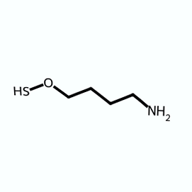 NCCCCOS